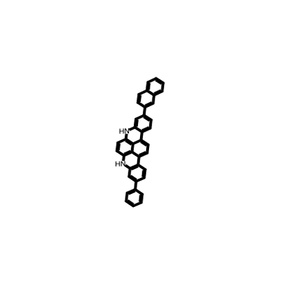 c1ccc(-c2ccc3c(c2)Nc2ccc4c5c(ccc-3c25)-c2ccc(-c3ccc5ccccc5c3)cc2N4)cc1